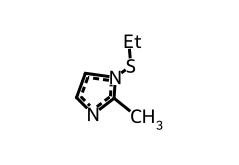 CCSn1ccnc1C